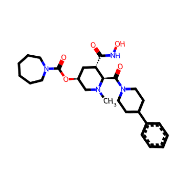 CN1C[C@@H](OC(=O)N2CCCCCC2)C[C@H](C(=O)NO)[C@H]1C(=O)N1CCC(c2ccccc2)CC1